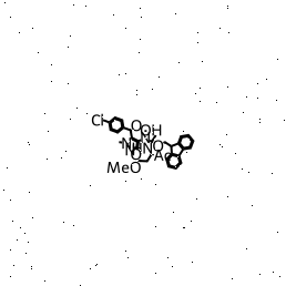 COC(=O)C[C@H](NC(C)(OCC1c2ccccc2-c2ccccc21)N(O)c1cnn(C)c1C(=O)c1ccc(Cl)cc1)C(C)=O